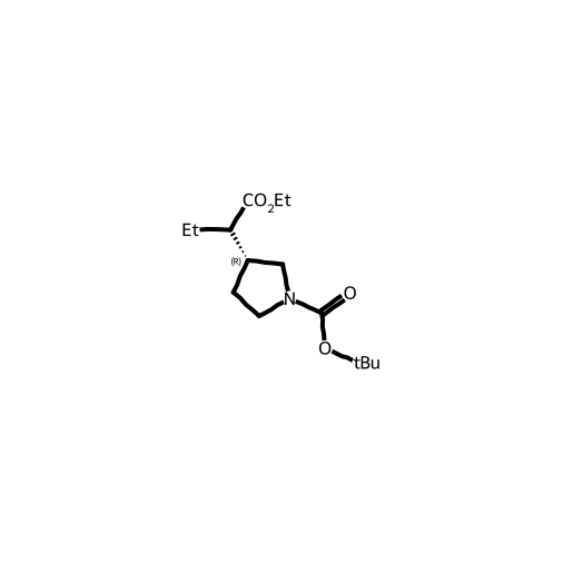 CCOC(=O)C(CC)[C@H]1CCN(C(=O)OC(C)(C)C)C1